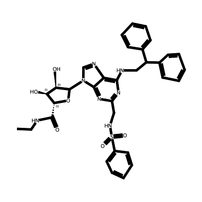 CCNC(=O)[C@H]1OC(n2cnc3c(NCC(c4ccccc4)c4ccccc4)nc(CNS(=O)(=O)c4ccccc4)nc32)[C@H](O)[C@@H]1O